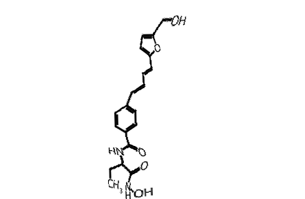 CCC(NC(=O)c1ccc(/C=C/C=C/c2ccc(CO)o2)cc1)C(=O)NO